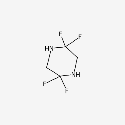 FC1(F)CNC(F)(F)CN1